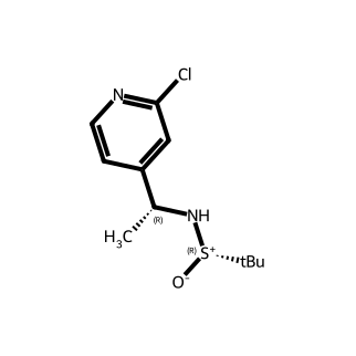 C[C@@H](N[S@@+]([O-])C(C)(C)C)c1ccnc(Cl)c1